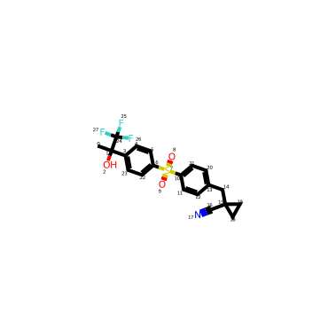 CC(O)(c1ccc(S(=O)(=O)c2ccc(CC3(C#N)CC3)cc2)cc1)C(F)(F)F